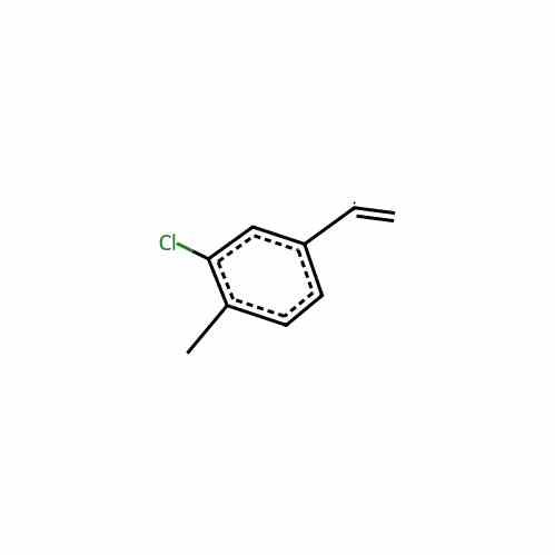 C=[C]c1ccc(C)c(Cl)c1